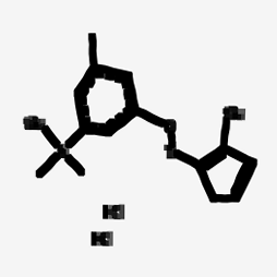 Cc1cc([O][Ti][C]2=C(C(C)(C)C)C=CC2)cc([Si](C)(C)C(C)(C)C)c1.Cl.Cl